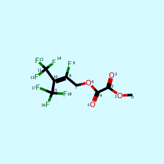 COC(=O)C(=O)OCC(F)=C(C(F)(F)F)C(F)(F)F